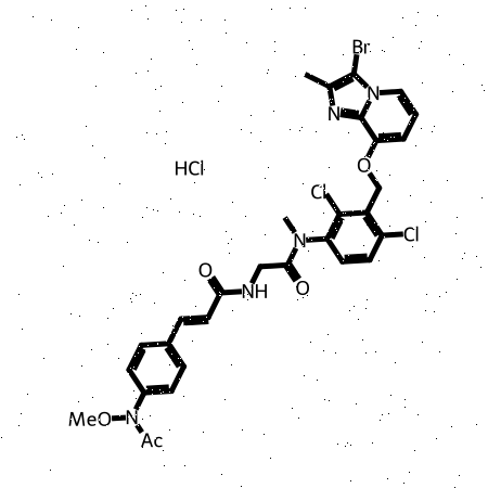 CON(C(C)=O)c1ccc(C=CC(=O)NCC(=O)N(C)c2ccc(Cl)c(COc3cccn4c(Br)c(C)nc34)c2Cl)cc1.Cl